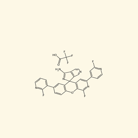 NC1=NC2(c3cc(-c4cccnc4F)ccc3Oc3c2cc(-c2ccnc(F)c2)nc3F)c2cnccc21.O=C(O)C(F)(F)F